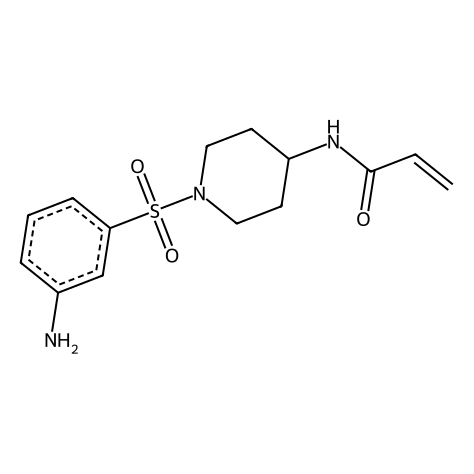 C=CC(=O)NC1CCN(S(=O)(=O)c2cccc(N)c2)CC1